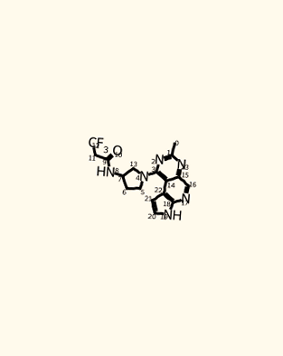 Cc1nc(N2CCC(NC(=O)CC(F)(F)F)C2)c2c(cnc3[nH]ccc32)n1